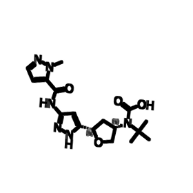 Cn1nccc1C(=O)Nc1cc([C@@H]2C[C@H](N(C(=O)O)C(C)(C)C)CO2)[nH]n1